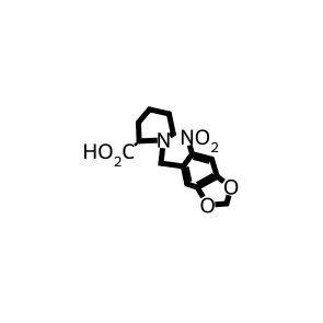 O=C(O)[C@@H]1CCCCN1Cc1cc2c(cc1[N+](=O)[O-])OCO2